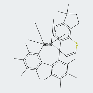 Cc1c(C)c(C)c2c(c1C)-c1c(C)c(C)c(C)c(C)c1C1(C=CSc3c1ccc1c3CCC1(C)C)c1c(C)c(C)c(C)c(C)c1-2